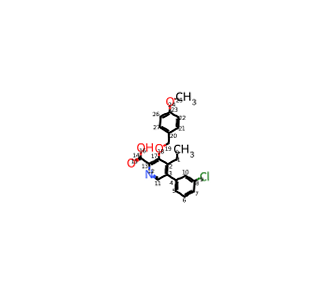 CCc1c(-c2cccc(Cl)c2)cnc(C(=O)O)c1OCc1ccc(OC)cc1